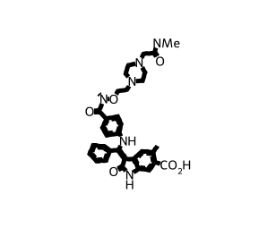 CNC(=O)CN1CCN(CCON(C)C(=O)c2ccc(N/C(=C3/C(=O)Nc4cc(C(=O)O)c(C)cc43)c3ccccc3)cc2)CC1